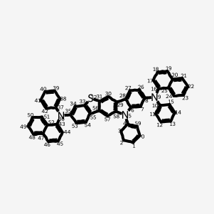 C1=CCCC(n2c3cc(N(c4ccccc4)c4cccc5ccccc45)ccc3c3cc4sc5cc(N(c6ccccc6)c6cccc7ccccc67)ccc5c4cc32)=C1